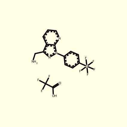 NCc1nn(-c2ccc(S(F)(F)(F)(F)F)cc2)c2ncccc12.O=C(O)C(F)(F)F